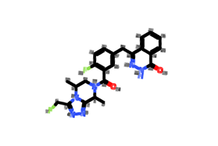 CC1c2nnc(CF)n2C(C)CN1C(=O)c1cc(Cc2n[nH]c(=O)c3ccccc23)ccc1F